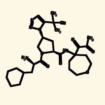 CC(C)(O)c1cnnn1[C@H]1C[C@@H](C(=O)NC2(C(=O)C(N)=O)CCCOCC2)N(C(=O)[C@H](N)CC2CCCCC2)C1